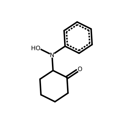 O=C1CCCCC1N(O)c1ccccc1